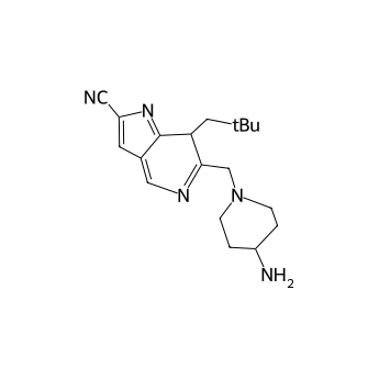 CC(C)(C)CC1C(CN2CCC(N)CC2)=NC=C2C=C(C#N)N=C21